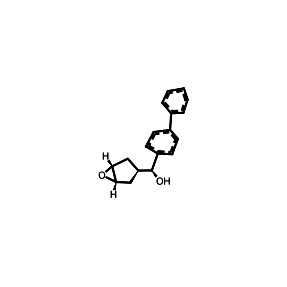 O[C@H](c1ccc(-c2ccccc2)cc1)[C@H]1C[C@@H]2O[C@@H]2C1